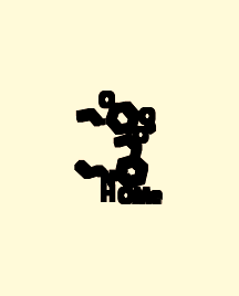 C=CCNc1cc(CC(C)[C@]23C[C@H](CC=C)C(=O)C=C2OCO3)ccc1OC